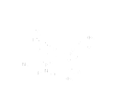 CC(C)N(C(C)C)P(OCCC#N)OC1[C@@H](/C=C/P(=O)(OCOC(=O)C(C)(C)C)OCOC(=O)C(C)(C)C)O[C@@H](n2ccc(=O)[nH]c2=O)C1(C)F